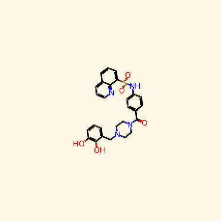 O=C(c1ccc(NS(=O)(=O)c2cccc3cccnc23)cc1)N1CCN(Cc2cccc(O)c2O)CC1